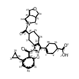 O=C(O)C1CC=C(c2nn(C(=O)c3c(Cl)cccc3C3CC3)c3c2CCC(C(=O)N2CC4COCC4C2)C3)CC1